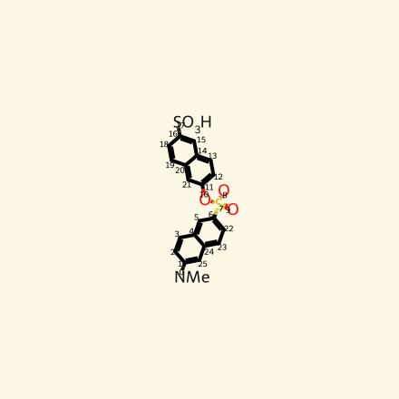 CNc1ccc2cc(S(=O)(=O)Oc3ccc4cc(S(=O)(=O)O)ccc4c3)ccc2c1